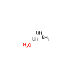 B.O.[LiH].[LiH]